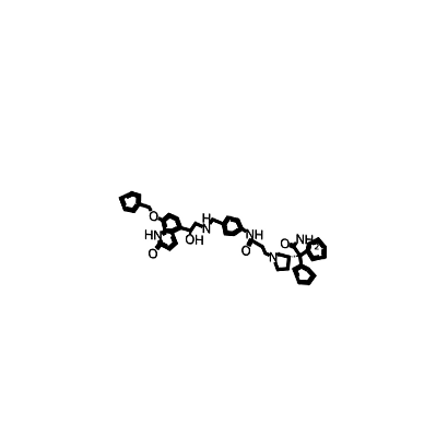 NC(=O)C(c1ccccc1)(c1ccccc1)[C@@H]1CCN(CCC(=O)Nc2ccc(CNC[C@@H](O)c3ccc(OCc4ccccc4)c4[nH]c(=O)ccc34)cc2)C1